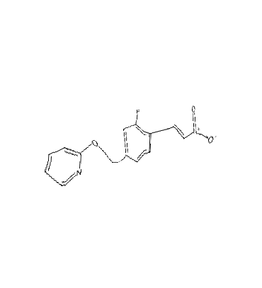 O=[N+]([O-])/C=C/c1ccc(COc2ccccn2)cc1F